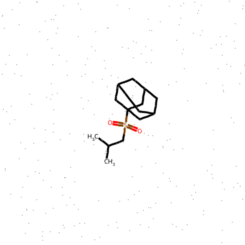 CC(C)CS(=O)(=O)C12CC3CC(CC(C3)C1)C2